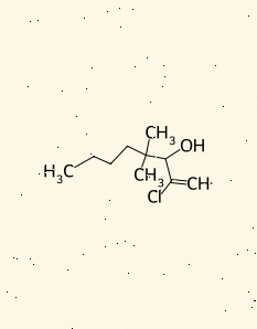 [CH]=C(Cl)C(O)C(C)(C)CCCC